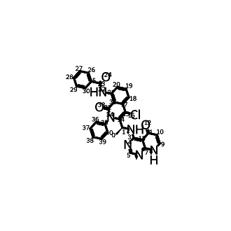 C[C@H](Nc1ncnc2[nH]ccc(=O)c12)c1c(Cl)c2cccc(NC(=O)c3ccccc3)c2c(=O)n1-c1ccccc1